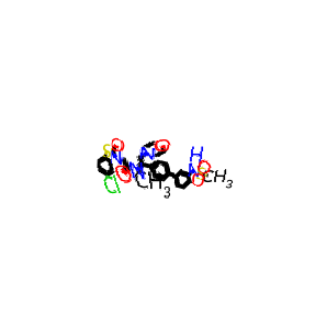 CN(C(=O)CN1C(=O)SC2=CC=C(Cl)CC21)C(CN1CCOCC1)c1ccc(-c2cccc(NS(C)(=O)=O)c2)cc1